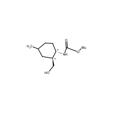 CC1CC[C@H](NC(=O)OC(C)(C)C)[C@@H](CO)C1